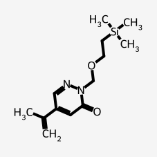 C=C(C)c1cnn(COCC[Si](C)(C)C)c(=O)c1